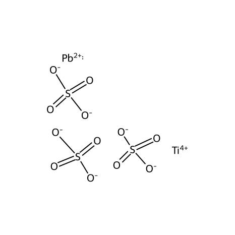 O=S(=O)([O-])[O-].O=S(=O)([O-])[O-].O=S(=O)([O-])[O-].[Pb+2].[Ti+4]